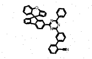 N#Cc1ccccc1-c1cccc(-c2nc(-c3ccccc3)nc(-c3ccc4c(c3)C3(c5ccccc5Oc5ccccc53)c3ccccc3-4)n2)c1